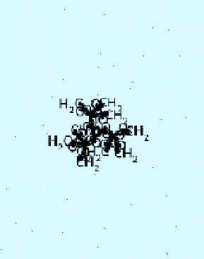 C=CC(=O)OCC(COC(=O)C=C)(COC(=O)C=C)COC(=O)C1CC(C(=O)OCC(COC(=O)C=C)(COC(=O)C=C)COC(=O)C=C)CC(C(=O)OCC(COC(=O)C=C)(COC(=O)C=C)COC(=O)C=C)C1